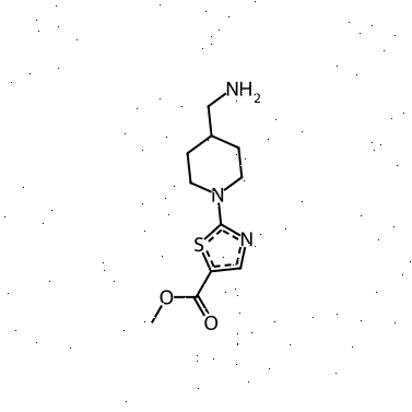 COC(=O)c1cnc(N2CCC(CN)CC2)s1